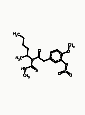 CCCCC(C)N(C(=O)Cc1ccc(OC)c(N=S(=O)=O)c1)C(=S)NC